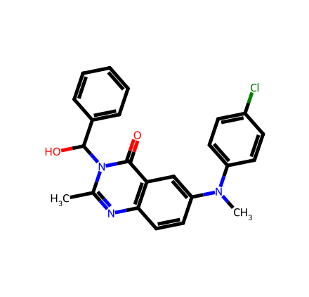 Cc1nc2ccc(N(C)c3ccc(Cl)cc3)cc2c(=O)n1C(O)c1ccccc1